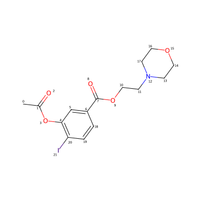 CC(=O)Oc1cc(C(=O)OCCN2CCOCC2)ccc1I